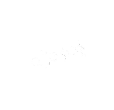 CCC(C)(CC)c1ccc(C(c2ccc(-n3c(=O)c4cc5c(=O)n(C(C)(C)CC)c(=O)c5cc4c3=O)cc2)(C(F)(F)F)C(F)(F)F)cc1